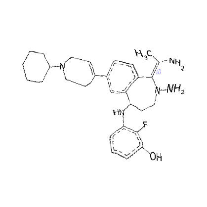 C/C(N)=C1\c2ccc(C3=CCN(C4CCCCC4)CC3)cc2C(Nc2cccc(O)c2F)CCN1N